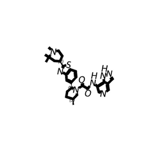 C[C@H]1CC[C@H](c2ccc3sc([C@@H]4CCN(C)C(C)(C)C4)nc3c2)N(C(=O)C(=O)Nc2cncc3cn[nH]c23)C1